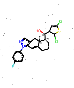 C[C@]12Cc3cnn(-c4ccc(F)cc4)c3C=C1CCC[C@@H]2[C@@H](O)C1C=C(Cl)SC1Cl